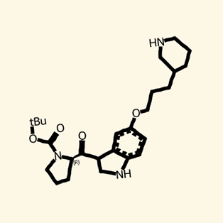 CC(C)(C)OC(=O)N1CCC[C@@H]1C(=O)C1CNc2ccc(OCCCC3CCCNC3)cc21